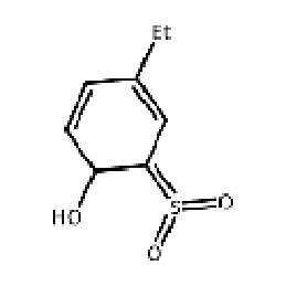 CCC1=CC(=S(=O)=O)C(O)C=C1